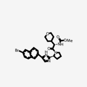 COC(=O)N[C@H](C(=O)N1CCC[C@H]1c1ncc(-c2ccc3cc(Br)ccc3c2)[nH]1)C1CCOCC1